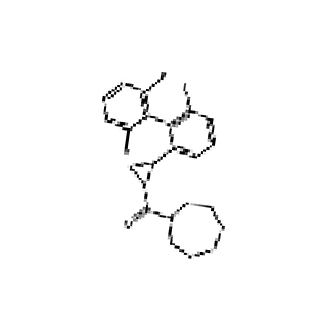 O=C(C1CC1c1cccc(F)c1-c1c(F)cccc1F)N1CCCCCC1